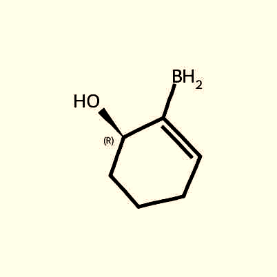 BC1=CCCC[C@H]1O